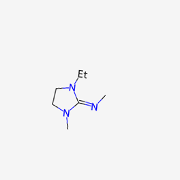 CCN1CCN(C)/C1=N/C